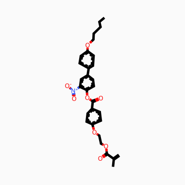 C=C(C)C(=O)OCCOc1ccc(C(=O)Oc2ccc(-c3ccc(OCCCCC)cc3)cc2[N+](=O)[O-])cc1